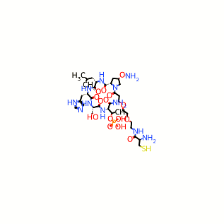 CC(C)C[C@H](NC(=O)[C@@H]1C[C@@H](ON)CN1C(=O)CCOCCOCCNC(=O)[C@@H](N)CS)C(=O)N[C@@H](Cc1cnc[nH]1)C(=O)N[C@@H](CO)C(=O)N[C@H](C(N)=O)C(C)OP(=O)(O)O